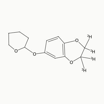 [2H]C1([2H])Oc2ccc(OC3CCCCO3)cc2OC1([2H])[2H]